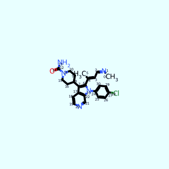 C/N=C\C=C(/C)c1c(C2CCN(C(N)=O)CC2)c2ccncc2n1-c1ccc(Cl)cc1